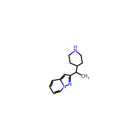 CC(c1cc2ccccn2n1)C1CCNCC1